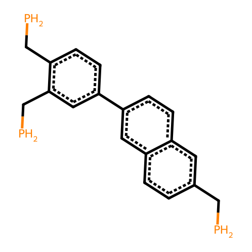 PCc1ccc2cc(-c3ccc(CP)c(CP)c3)ccc2c1